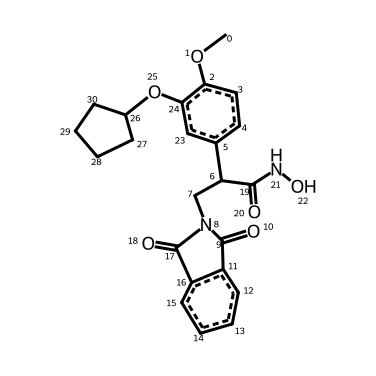 COc1ccc(C(CN2C(=O)c3ccccc3C2=O)C(=O)NO)cc1OC1CCCC1